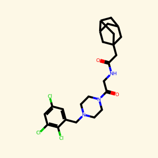 O=C(CC12CC3CC(C1)C(C3)C2)NCC(=O)N1CCN(Cc2cc(Cl)cc(Cl)c2Cl)CC1